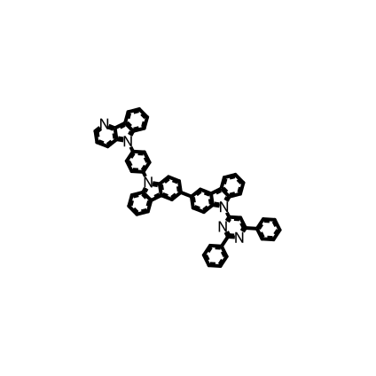 c1ccc(-c2cc(-n3c4ccccc4c4cc(-c5ccc6c(c5)c5ccccc5n6-c5ccc(-n6c7ccccc7c7ncccc76)cc5)ccc43)nc(-c3ccccc3)n2)cc1